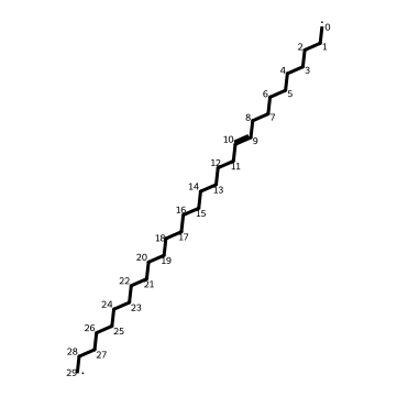 [CH2]CCCCCCCCC=CCCCCCCCCCCCCCCCCCC[CH2]